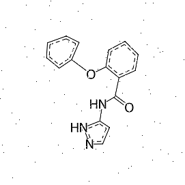 O=C(Nc1ccn[nH]1)c1ccccc1Oc1ccccc1